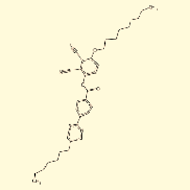 CCCCCCCCCOc1ccc(OC(=O)c2ccc(-c3ncc(CCCCCCC)cn3)cc2)c(C#N)c1C#N